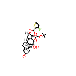 CC(C)(C)OCC(=O)[C@@]12O[C@H](c3sccc3F)O[C@@H]1C[C@@H]1C2C[C@H](O)[C@H]2[C@H]1CCC1=CC(=O)C=C[C@@]12C